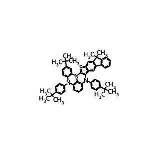 CC(C)(C)c1ccc(N2c3ccc(C(C)(C)C)cc3N3c4sc5cc6c(cc5c4N(c4ccc(C(C)(C)C)cc4)c4cccc2c43)-c2ccccc2C6(C)C)cc1